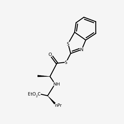 CCC[C@H](N[C@@H](C)C(=O)Sc1nc2ccccc2s1)C(=O)OCC